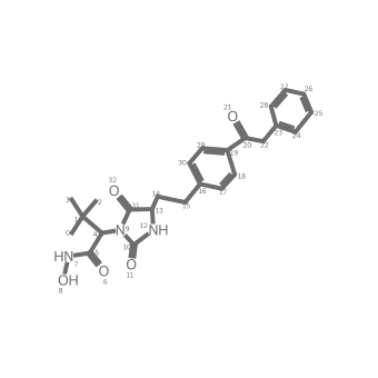 CC(C)(C)C(C(=O)NO)N1C(=O)NC(CCc2ccc(C(=O)Cc3ccccc3)cc2)C1=O